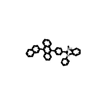 C[n+]1c(-c2ccc(-c3c4ccccc4c(-c4ccc5ccccc5c4)c4ccccc34)cc2)n(-c2ccccc2)c2ccccc21